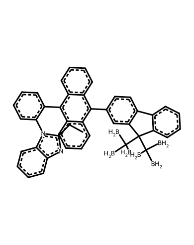 BC(B)(B)C1(C(B)(B)B)c2ccccc2-c2ccc(-c3c4ccccc4c(-c4ccccc4-n4c(CC)nc5ccccc54)c4ccccc34)cc21